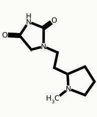 CN1CCCC1CCN1[CH]C(=O)NC1=O